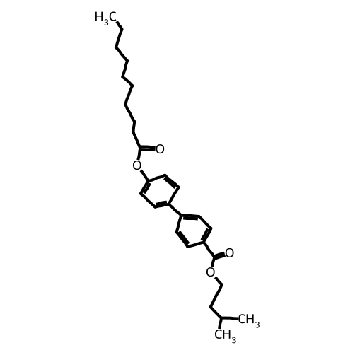 CCCCCCCCCC(=O)Oc1ccc(-c2ccc(C(=O)OCCC(C)C)cc2)cc1